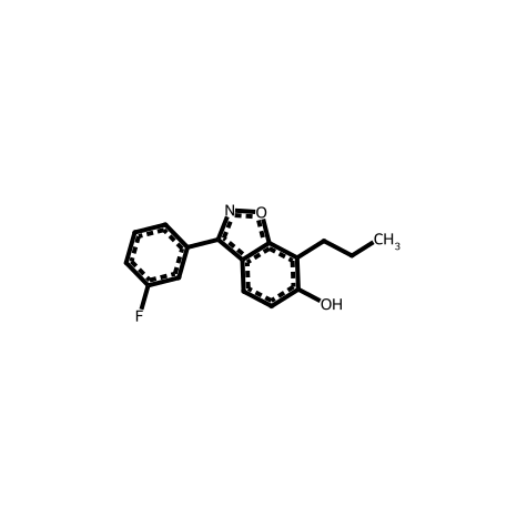 CCCc1c(O)ccc2c(-c3cccc(F)c3)noc12